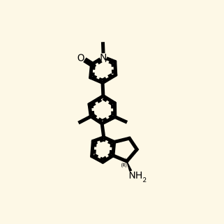 Cc1cc(-c2ccn(C)c(=O)c2)cc(C)c1-c1cccc2c1CC[C@H]2N